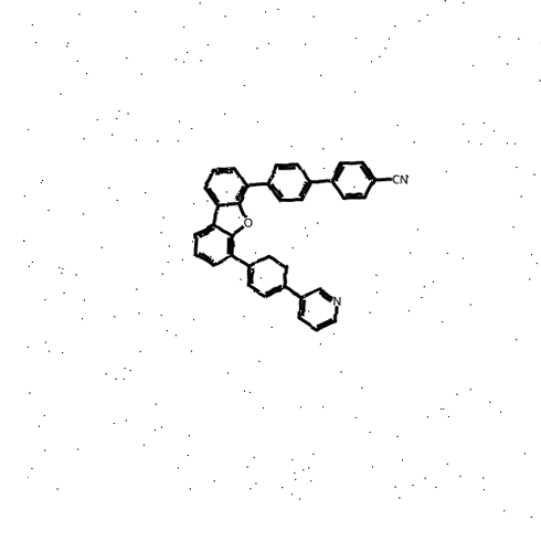 N#Cc1ccc(-c2ccc(-c3cccc4c3oc3c(C5=CC=C(c6cccnc6)CC5)cccc34)cc2)cc1